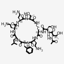 CC(=O)N[C@H](C(=O)N[C@H](CO)C(=O)N[C@H]1CCNC(=O)[C@H]([C@@H](C)O)NC(=O)[C@H](CCN)NC(=O)[C@H](CCN)NC(=O)[C@H](CC(C)C)NC(=O)[C@@H](Cc2ccccc2)NC(=O)[C@H](CCN)NC1=O)[C@@H](C)O